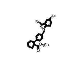 CC(=O)c1ccc2c(c1)c(Br)nn2Cc1ccc(-c2ccccc2C(=O)OC(C)(C)C)cc1